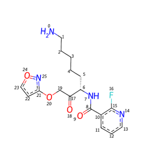 NCCCCC[C@H](NC(=O)c1cccnc1F)C(=O)COc1ccon1